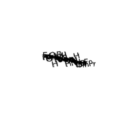 CCCC(F)(F)COCC(=O)N[C@H](c1nc2ccc(-c3cnc(-c4ccc5nc([C@@H](NC(=O)[C@@]6(C)CCC(F)(F)CO6)C(C)(C)C)[nH]c5c4)cn3)cc2[nH]1)C(C)(C)C